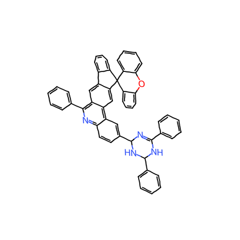 c1ccc(C2=NC(c3ccc4nc(-c5ccccc5)c5cc6c(cc5c4c3)C3(c4ccccc4Oc4ccccc43)c3ccccc3-6)NC(c3ccccc3)N2)cc1